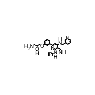 CC(C)Nc1nc(-c2cccc(OCC(O)CN)c2)cc(NCc2cccnc2)c1C=N